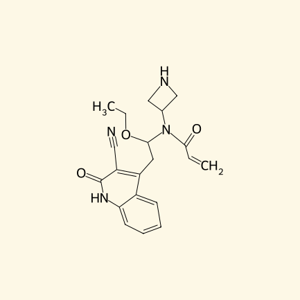 C=CC(=O)N(C1CNC1)C(Cc1c(C#N)c(=O)[nH]c2ccccc12)OCC